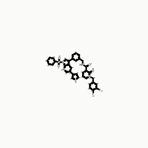 O=C(NCc1cccc(-c2cn(S(=O)(=O)c3ccccc3)c3ncc(-c4ccsc4)cc23)c1)c1cccn(Cc2ccc(F)c(F)c2)c1=O